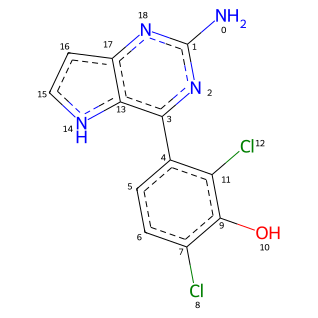 Nc1nc(-c2ccc(Cl)c(O)c2Cl)c2[nH]ccc2n1